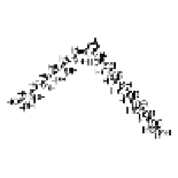 C=CC=CC.O=[PH](O)O.O=[PH](O)O.O=[PH](O)O.O=[PH](O)O.O=[PH](O)O.O=[PH](O)O.O=[PH](O)O.O=[PH](O)O.O=[PH](O)O.O=[PH](O)O.O=[PH](O)O.O=[PH](O)O.O=[PH](O)O.O=[PH](O)O.O=[PH](O)O